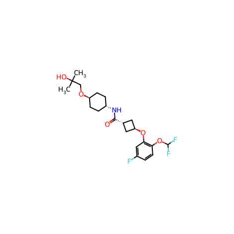 CC(C)(O)CO[C@H]1CC[C@H](NC(=O)[C@H]2C[C@H](Oc3cc(F)ccc3OC(F)F)C2)CC1